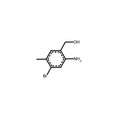 Cc1cc(CO)c(N)cc1Br